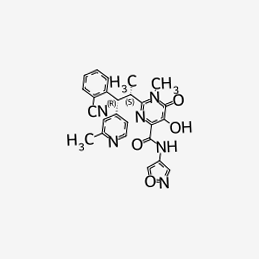 Cc1cc([C@H](c2ccccc2C#N)[C@H](C)c2nc(C(=O)Nc3cnoc3)c(O)c(=O)n2C)ccn1